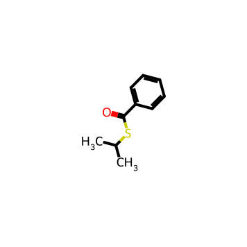 CC(C)SC(=O)c1ccccc1